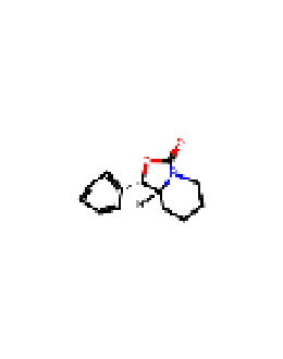 O=C1O[C@@H](c2ccccc2)[C@H]2CCCCN12